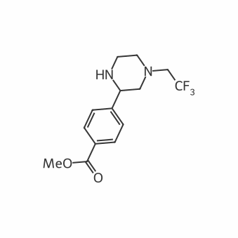 COC(=O)c1ccc(C2CN(CC(F)(F)F)CCN2)cc1